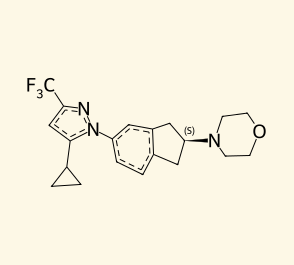 FC(F)(F)c1cc(C2CC2)n(-c2ccc3c(c2)C[C@@H](N2CCOCC2)C3)n1